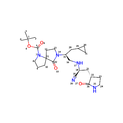 CC(C)(C)OC(=O)N1CCCC12CCN([C@H](CN[C@H](C#N)C[C@@H]1CCNC1=O)CC1CC1)C2=O